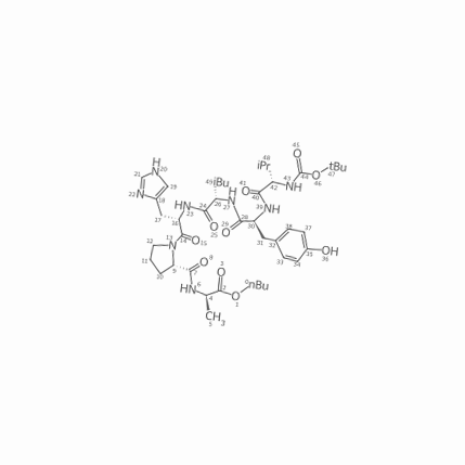 CCCCOC(=O)[C@@H](C)NC(=O)[C@@H]1CCCN1C(=O)[C@H](Cc1c[nH]cn1)NC(=O)[C@@H](NC(=O)[C@H](Cc1ccc(O)cc1)NC(=O)[C@@H](NC(=O)OC(C)(C)C)C(C)C)C(C)CC